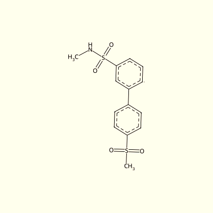 CNS(=O)(=O)c1cc[c]c(-c2ccc(S(C)(=O)=O)cc2)c1